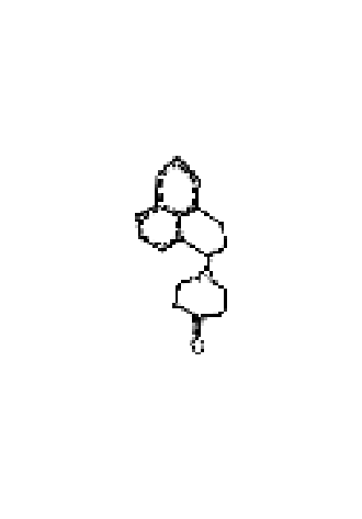 O=C1CCN(C2CCc3cccc4cccc2c34)CC1